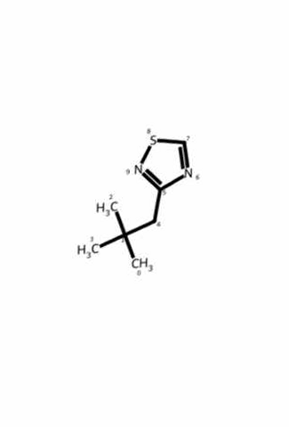 CC(C)(C)Cc1ncsn1